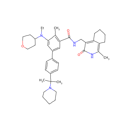 CCN(c1cc(-c2ccc(C(C)(C)N3CCCCC3)cc2)cc(C(=O)NCc2c3c(c(C)[nH]c2=O)CCCC3)c1C)C1CCOCC1